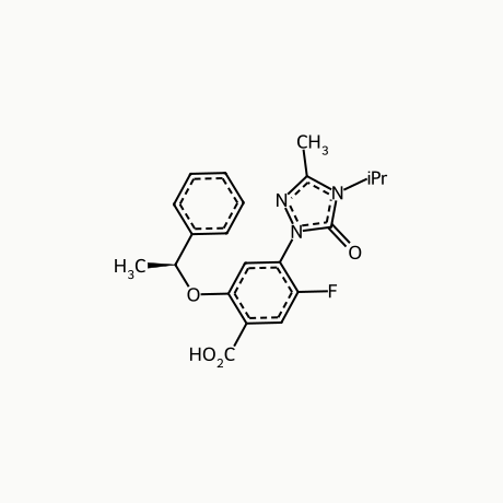 Cc1nn(-c2cc(O[C@@H](C)c3ccccc3)c(C(=O)O)cc2F)c(=O)n1C(C)C